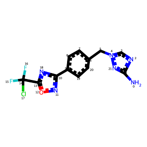 Nc1ncn(Cc2ccc(-c3noc(C(F)(F)Cl)n3)cc2)n1